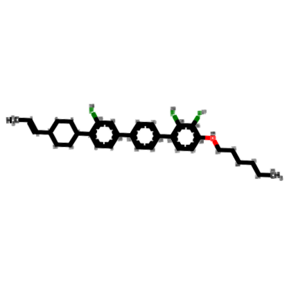 C/C=C/C1CCC(c2ccc(-c3ccc(-c4ccc(OCCCCCC)c(F)c4F)cc3)cc2F)CC1